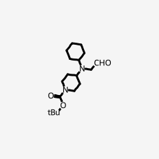 CC(C)(C)OC(=O)N1CCC(N(CC=O)C2CCCCC2)CC1